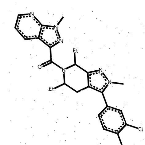 CCC1Cc2c(nn(C)c2-c2ccc(OC)c(Cl)c2)C(CC)N1C(=O)c1nn(C)c2ncccc12